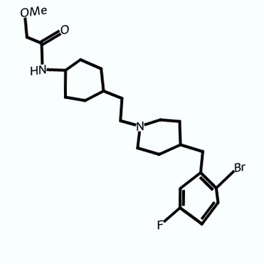 COCC(=O)NC1CCC(CCN2CCC(Cc3cc(F)ccc3Br)CC2)CC1